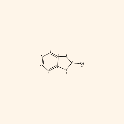 SC1Cc2ccccc2O1